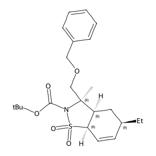 CC[C@H]1C=C[C@@H]2[C@H](C1)[C@](C)(COCc1ccccc1)N(C(=O)OC(C)(C)C)S2(=O)=O